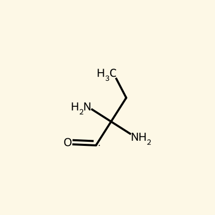 CCC(N)(N)[C]=O